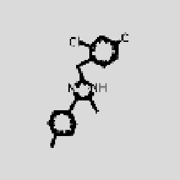 Cc1ccc(-c2nc(Cc3ccc(Cl)cc3Cl)[nH]c2C)cc1